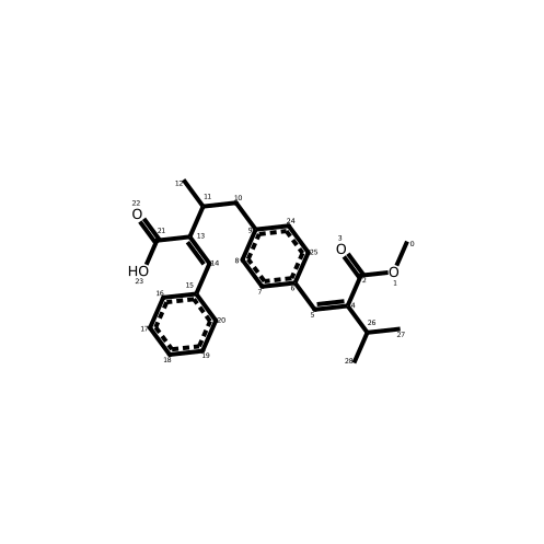 COC(=O)/C(=C\c1ccc(CC(C)C(=Cc2ccccc2)C(=O)O)cc1)C(C)C